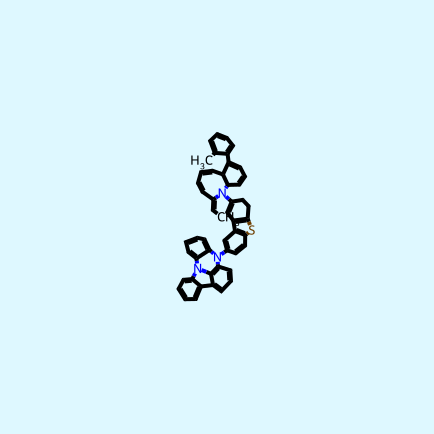 C/C=C1/C=C\C=C/C2C(c3ccccc3C)=CC=CC2N1C1=Cc2c(sc3ccc(N4c5ccccc5-n5c6ccccc6c6cccc4c65)cc23)CC1